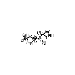 N#CN(C(=O)C1CCNC1)c1nc2c(s1)CN(C(=O)O)CC2